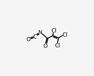 O=C=NC(=O)C(Cl)=C(Cl)Cl